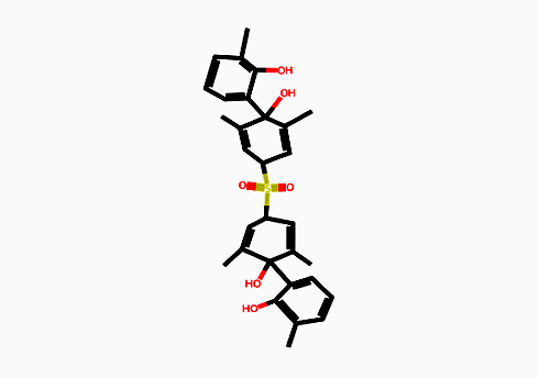 CC1=CC(S(=O)(=O)C2C=C(C)C(O)(c3cccc(C)c3O)C(C)=C2)C=C(C)C1(O)c1cccc(C)c1O